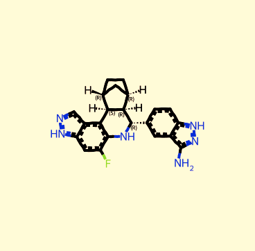 Nc1n[nH]c2ccc([C@@H]3Nc4c(F)cc5[nH]ncc5c4[C@H]4[C@@H]5CC[C@H](C5)[C@H]43)cc12